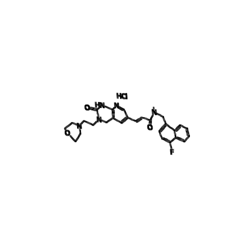 CN(Cc1ccc(F)c2ccccc12)C(=O)C=Cc1cnc2c(c1)CN(CCN1CCOCC1)C(=O)N2.Cl